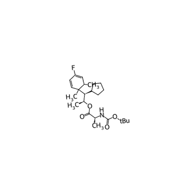 CC1C=C(F)C=CC1(C)[C@@H](C1CCCC1)[C@H](C)OC(=O)[C@H](C)NC(=O)OC(C)(C)C